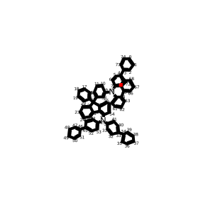 c1ccc(-c2ccc(N(c3cccc(C4(c5ccccc5)c5ccccc5-c5c(N(c6ccc(-c7ccccc7)cc6)c6ccc(-c7ccccc7)cc6)cccc54)c3)c3ccccc3-c3ccccc3)cc2)cc1